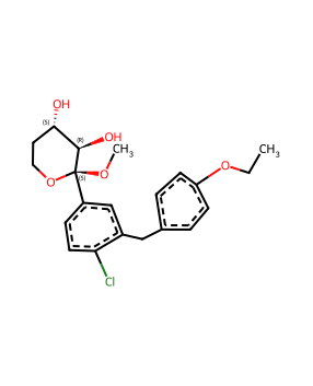 CCOc1ccc(Cc2cc([C@]3(OC)OCC[C@H](O)[C@H]3O)ccc2Cl)cc1